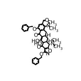 CN(C)c1c(C=O)cc(OCc2ccccc2)c2c1C[C@H]1C[C@H]3[C@H](N(C)C)c4onc(OCc5ccccc5)c4C(=O)[C@@]3(O)C(O)=C1C2=O